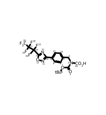 CC(C)(C)OC(=O)N(Cc1ccc(-c2noc(C(F)(F)C(F)(F)C(F)(F)F)n2)cc1)C(=O)O